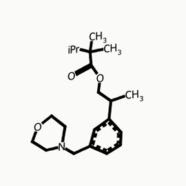 CC(COC(=O)C(C)(C)C(C)C)c1cccc(CN2CCOCC2)c1